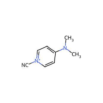 CN(C)c1cc[n+](C#N)cc1